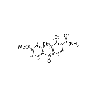 CCc1c(C(N)=O)ccc(C(=O)c2ccc(OC)cc2)c1CC